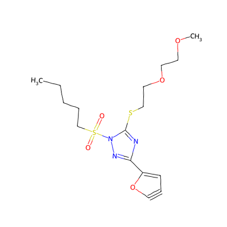 CCCCCS(=O)(=O)n1nc(-c2cc#co2)nc1SCCOCCOC